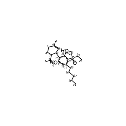 C=C(C)C1CCC(C)=CC1c1c(O)cc(CCCCC)c(S(=O)(=O)CC)c1O